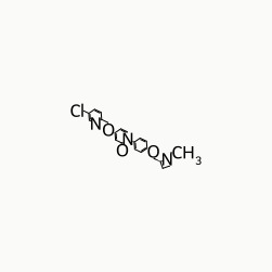 CCN1CC[C@H]1COc1ccc(-n2ccc(OCc3ccc(Cl)cn3)cc2=O)cc1